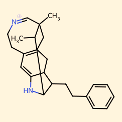 CC1C2NC3=CC4=C(CC3C2CCc2ccccc2)CC1(C)/C=N\CC4